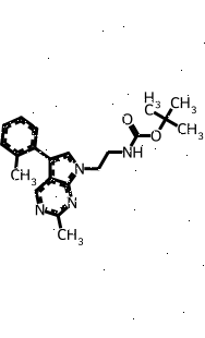 Cc1ncc2c(-c3ccccc3C)cn(CCNC(=O)OC(C)(C)C)c2n1